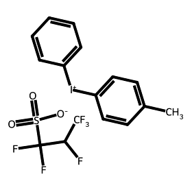 Cc1ccc([I+]c2ccccc2)cc1.O=S(=O)([O-])C(F)(F)C(F)C(F)(F)F